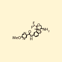 COc1cnc(C(=O)Nc2ccc(F)c([C@@]3(C)N=C(N)CO[C@H]3C(F)F)c2)cn1